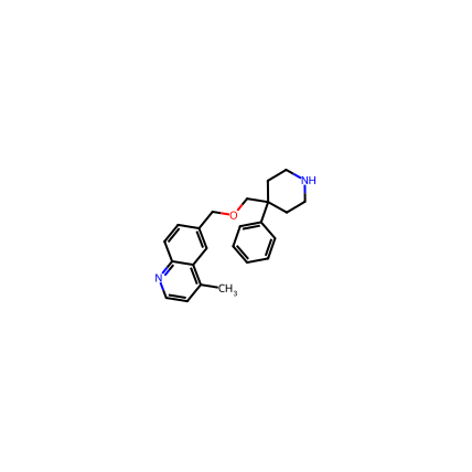 Cc1ccnc2ccc(COCC3(c4ccccc4)CCNCC3)cc12